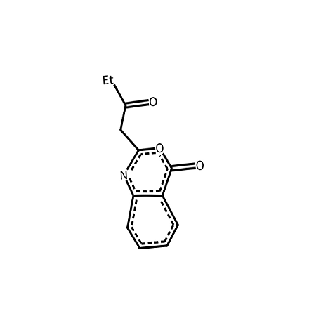 CCC(=O)Cc1nc2ccccc2c(=O)o1